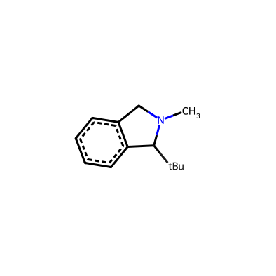 CN1Cc2ccccc2C1C(C)(C)C